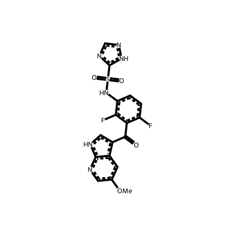 COc1cnc2[nH]cc(C(=O)c3c(F)ccc(NS(=O)(=O)c4ncn[nH]4)c3F)c2c1